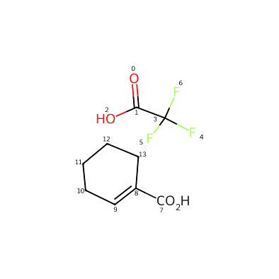 O=C(O)C(F)(F)F.O=C(O)C1=CCCCC1